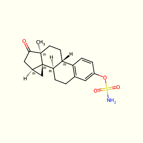 C[C@]12CC[C@@H]3c4ccc(OS(N)(=O)=O)cc4CC[C@H]3[C@@]13C[C@H]3CC2=O